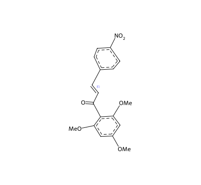 COc1cc(OC)c(C(=O)/C=C/c2ccc([N+](=O)[O-])cc2)c(OC)c1